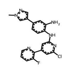 Cn1cc(-c2ccc(Nc3cc(-c4ncccc4F)cc(Cl)n3)c(N)c2)cn1